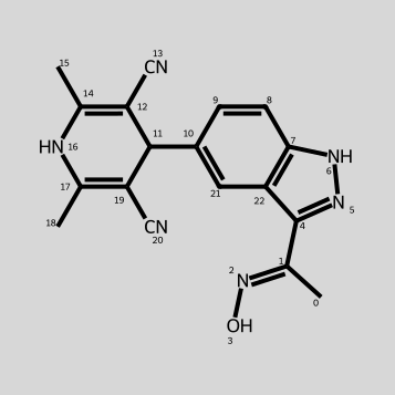 CC(=NO)c1n[nH]c2ccc(C3C(C#N)=C(C)NC(C)=C3C#N)cc12